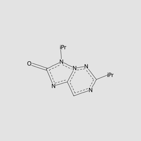 CC(C)c1ncc2nc(=O)n(C(C)C)n2n1